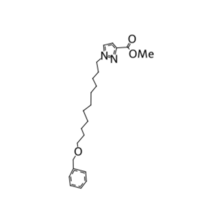 COC(=O)c1ccn(CCCCCCCCCCCOCc2ccccc2)n1